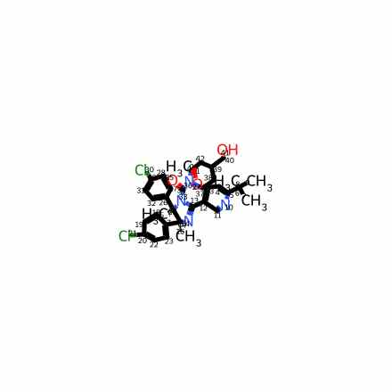 CCOc1cc(C(C)(C)C)ncc1C1=N[C@@](C)(c2ccc(Cl)cc2)[C@@](C)(c2ccc(Cl)cc2)N1C(=O)N1CCC(CO)CC1